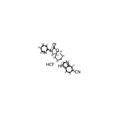 Cl.N#Cc1ccc2[nH]c([C@H]3CC[C@]4(CC3)CN(c3ccccn3)C(=O)O4)nc2c1